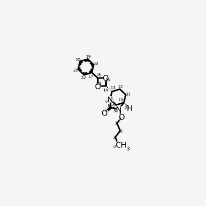 CCCCON1C(=O)N2C[C@H]1CC[C@H]2C1OC(c2ccccc2)O1